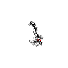 C[C@H]1CC/C(=C/C(=O)NC(C)(C)C(=O)CC(=O)NCc2nc(-c3nc(C(=O)O)cs3)cs2)N1C(=O)OC(C)(C)C